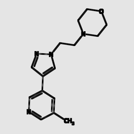 Cc1cncc(-c2cnn(CCN3CCOCC3)c2)c1